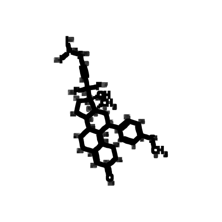 CSc1ccc(C2C[C@@]3(C)C(CC[C@@]3(O)C(F)(F)C#CSP(I)I)C3CCC4=CC(=O)CCC4=C23)cc1